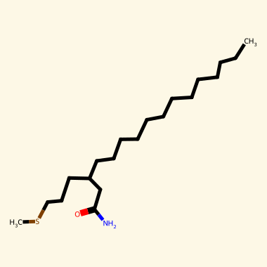 CCCCCCCCCCCCCC(CCCSC)CC(N)=O